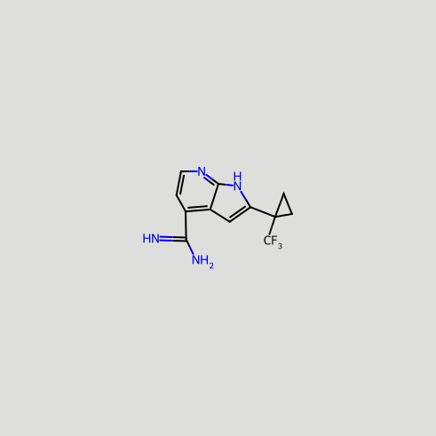 N=C(N)c1ccnc2[nH]c(C3(C(F)(F)F)CC3)cc12